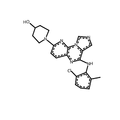 Cc1cccc(Cl)c1Nc1nc2ccc(N3CCC(O)CC3)nc2n2cncc12